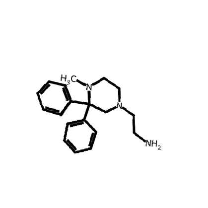 CN1CCN(CCN)CC1(c1ccccc1)c1ccccc1